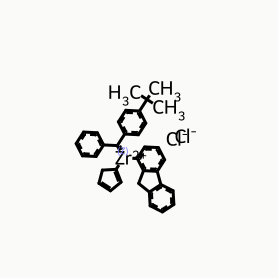 CC(C)(C)c1ccc(/[C](c2ccccc2)=[Zr+2](/[C]2=CC=CC2)[c]2cccc3c2Cc2ccccc2-3)cc1.[Cl-].[Cl-]